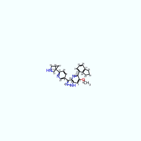 COc1cc2[nH]nc(-c3ccc(C45CNCC4C5)nc3)c2nc1-c1cccc2c1CCC2